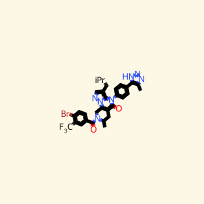 Cc1nn[nH]c1-c1ccc(-n2c(=O)c3c(n4ncc(CC(C)C)c24)CN(C(=O)c2ccc(Br)c(C(F)(F)F)c2)C(C)C3)cc1